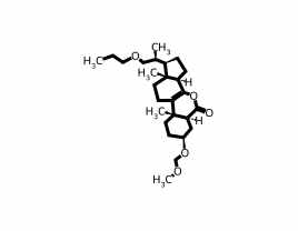 CCCOC[C@@H](C)[C@H]1CC[C@H]2C3=C(CC[C@]12C)[C@@]1(C)CC[C@H](OCOC)C[C@@H]1C(=O)O3